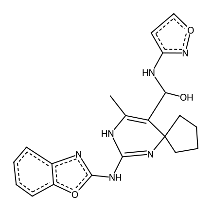 CC1=C(C(O)Nc2ccon2)C2(CCCC2)N=C(Nc2nc3ccccc3o2)N1